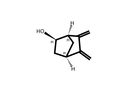 C=C1C(=C)[C@H]2C[C@@H]1C[C@H]2O